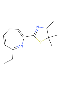 CCC1=NC(C2=NC(C)C(C)(C)S2)=CCC=C1